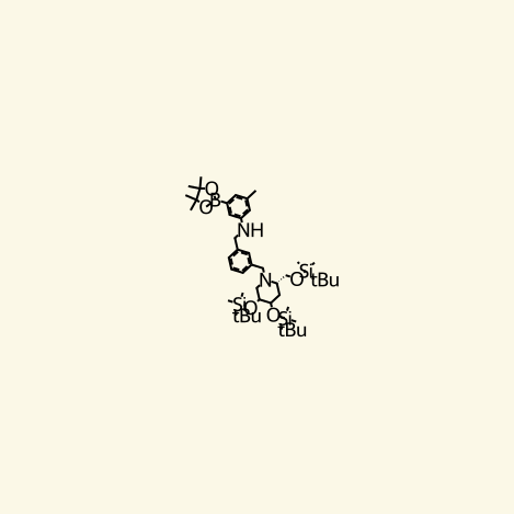 Cc1cc(NCc2cccc(CN3CC(O[Si](C)(C)C(C)(C)C)C(O[Si](C)(C)C(C)(C)C)C[C@H]3CO[Si](C)(C)C(C)(C)C)c2)cc(B2OC(C)(C)C(C)(C)O2)c1